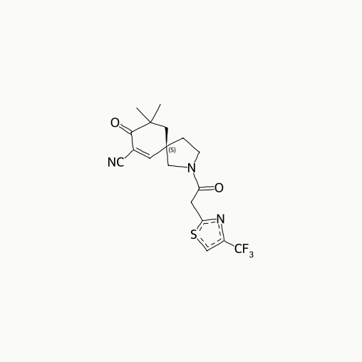 CC1(C)C[C@@]2(C=C(C#N)C1=O)CCN(C(=O)Cc1nc(C(F)(F)F)cs1)C2